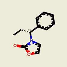 CC[C@H](c1ccccc1)n1ccoc1=O